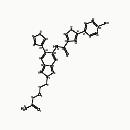 NC(=O)COCCn1cc2cc(NC(=O)c3csc(-c4ccc(F)nc4)n3)c(-c3ccsc3)cc2n1